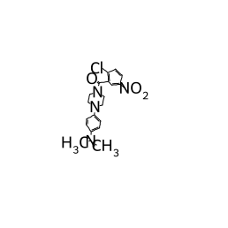 CN(C)c1ccc(N2CCN(C(=O)c3cc([N+](=O)[O-])ccc3Cl)CC2)cc1